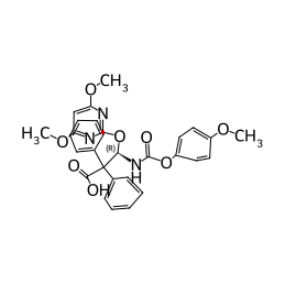 COc1ccc(OC(=O)N[C@H](Oc2nc(OC)cc(OC)n2)C(C(=O)O)(c2ccccc2)c2ccccc2)cc1